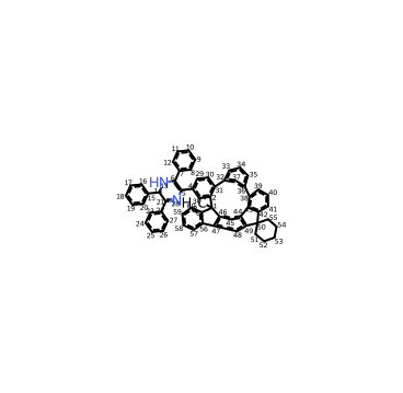 CC12c3cc(C4=C(c5ccccc5)NC(c5ccccc5)C(c5ccccc5)=N4)ccc3-c3cccc(c3)-c3cccc4c3-c3cc1c(cc3C41CCCCC1)-c1ccccc12